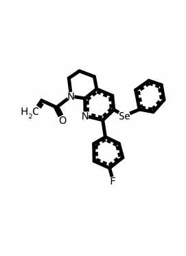 C=CC(=O)N1CCCc2cc([Se]c3ccccc3)c(-c3ccc(F)cc3)nc21